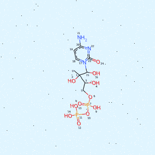 CC(O)(C(O)COP(=O)(O)OP(=O)(O)O)C(O)n1ccc(N)nc1=O